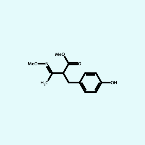 CO/N=C(\C)C(Cc1ccc(O)cc1)C(=O)OC